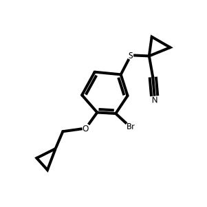 N#CC1(Sc2ccc(OCC3CC3)c(Br)c2)CC1